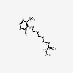 CC(C)(C)OC(=O)NCCCCCNc1c(Br)cccc1[N+](=O)[O-]